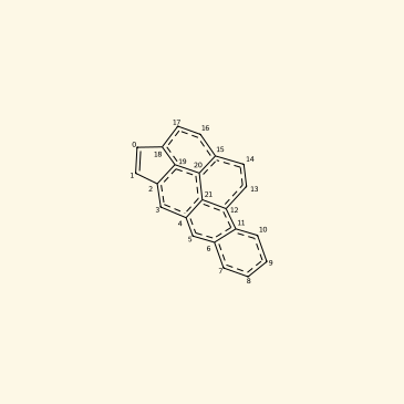 C1=Cc2cc3cc4ccccc4c4ccc5ccc1c2c5c34